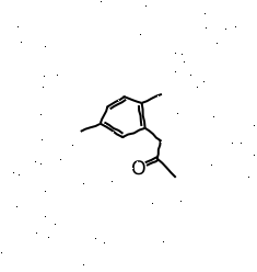 CC(=O)Cc1cc(C)ccc1C